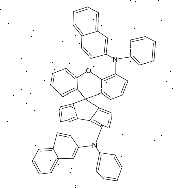 c1ccc(N(c2ccc3ccccc3c2)c2cccc3c2Oc2ccccc2C32c3ccccc3-c3c(N(c4ccccc4)c4ccc5ccccc5c4)cccc32)cc1